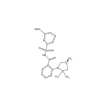 COc1cccc(S(=O)(=O)NC(=O)c2cccnc2N2C[C@@H](C)CC2(C)C)n1